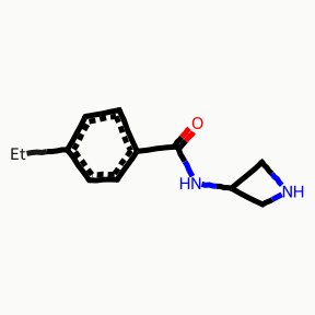 CCc1ccc(C(=O)NC2CNC2)cc1